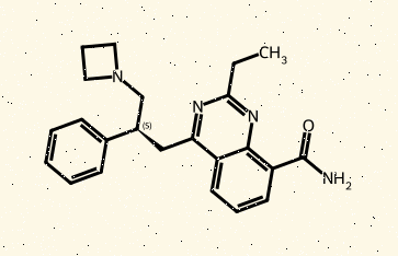 CCc1nc(C[C@H](CN2CCC2)c2ccccc2)c2cccc(C(N)=O)c2n1